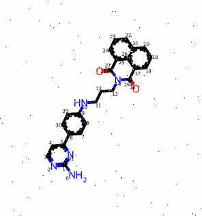 Nc1nccc(-c2ccc(NCCCN3C(=O)c4cccc5cccc(c45)C3=O)cc2)n1